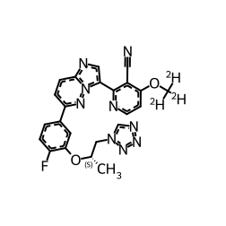 [2H]C([2H])([2H])Oc1ccnc(-c2cnc3ccc(-c4ccc(F)c(O[C@@H](C)Cn5cnnn5)c4)nn23)c1C#N